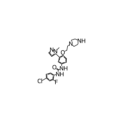 Cn1nccc1-c1cc(NC(=O)Nc2ccc(Cl)cc2F)ccc1OCCN1CCNCC1